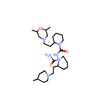 CC1CCN(CCC2CCCC[N+]2(NC(=O)N2CCCCC2CCN2CC(C)OC(C)C2)C(N)=O)CC1